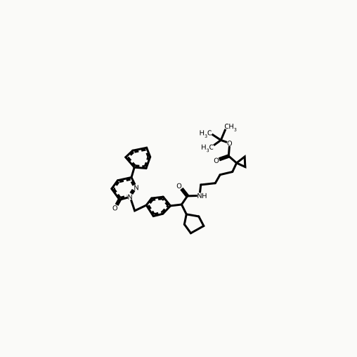 CC(C)(C)OC(=O)C1(CCCCNC(=O)C(c2ccc(Cn3nc(-c4ccccc4)ccc3=O)cc2)C2CCCC2)CC1